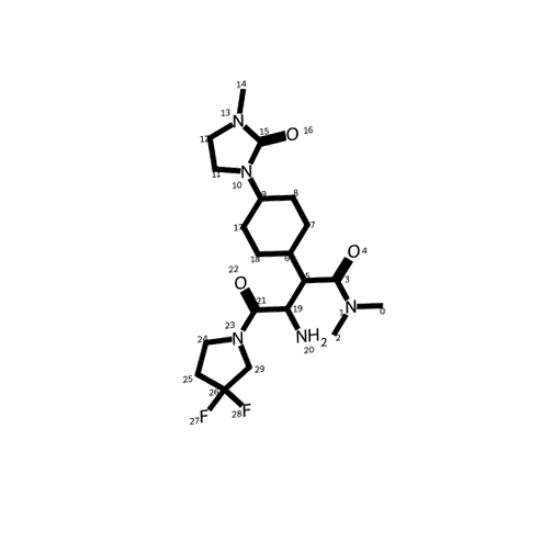 CN(C)C(=O)C(C1CCC(N2CCN(C)C2=O)CC1)C(N)C(=O)N1CCC(F)(F)C1